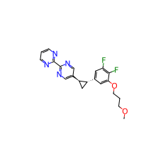 COCCCOc1cc([C@@H]2C[C@H]2c2cnc(-c3ncccn3)nc2)cc(F)c1F